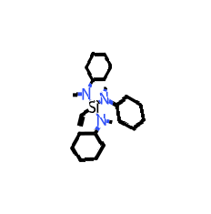 C=C[Si](N(C)C1CCCCC1)(N(C)C1CCCCC1)N(C)C1CCCCC1